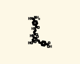 N=C(N)c1ccc(C(=O)NCCC(=O)N[C@@H](CC(=O)O)C(=O)NCCc2ccc(C(=O)O)cc2)cc1